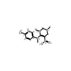 CN1CC([N+](=O)[O-])=C(N(C)c2ccc(Cl)nc2)N(C)C1